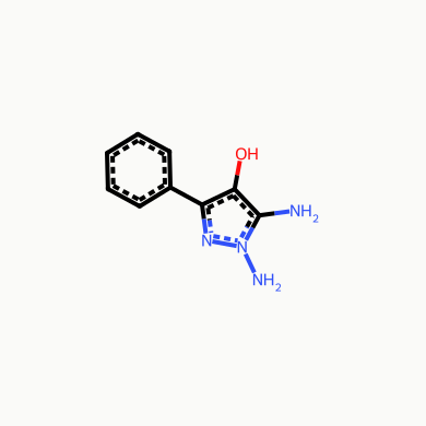 Nc1c(O)c(-c2ccccc2)nn1N